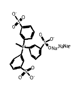 C[P+](c1cccc(S(=O)(=O)[O-])c1)(c1cccc(S(=O)(=O)[O-])c1)c1cccc(S(=O)(=O)[O-])c1.[I-].[Na+].[Na+].[Na+]